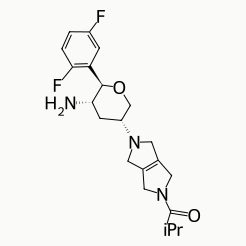 CC(C)C(=O)N1CC2=C(C1)CN([C@H]1CO[C@H](c3cc(F)ccc3F)[C@@H](N)C1)C2